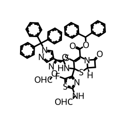 O=CNc1nc(C2(NC(=O)/C=N\OC=O)S[C@H]3CC(=O)N3C(C(=O)OC(c3ccccc3)c3ccccc3)=C2SCc2cnn(C(c3ccccc3)(c3ccccc3)c3ccccc3)c2)c(F)s1